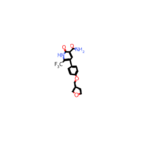 NC(=O)c1cc(-c2ccc(OCC3CCOC3)cc2)c(C(F)(F)F)[nH]c1=O